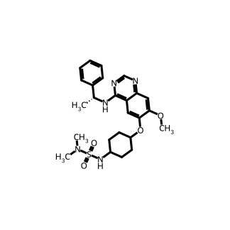 COc1cc2ncnc(N[C@H](C)c3ccccc3)c2cc1OC1CCC(NS(=O)(=O)N(C)C)CC1